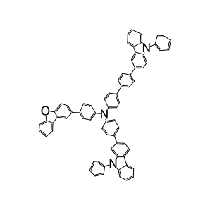 c1ccc(-n2c3ccccc3c3cc(-c4ccc(-c5ccc(N(c6ccc(-c7ccc8oc9ccccc9c8c7)cc6)c6ccc(-c7ccc8c9ccccc9n(-c9ccccc9)c8c7)cc6)cc5)cc4)ccc32)cc1